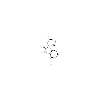 C=C(C)CC1(C(=O)O)C(=O)Nc2c(OC)cccc21